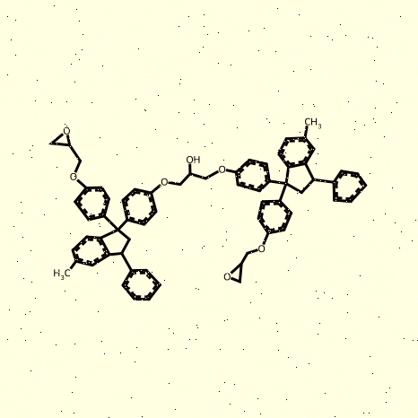 Cc1ccc2c(c1)C(c1ccccc1)CC2(c1ccc(OCC(O)COc2ccc(C3(c4ccc(OCC5CO5)cc4)CC(c4ccccc4)c4cc(C)ccc43)cc2)cc1)c1ccc(OCC2CO2)cc1